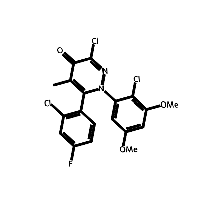 COc1cc(OC)c(Cl)c(-n2nc(Cl)c(=O)c(C)c2-c2ccc(F)cc2Cl)c1